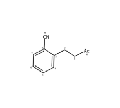 CC(=O)CCc1ccccc1C#N